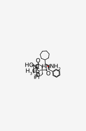 CC(C)C[C@](C(=O)NN)([C@H](C(=O)NO)C(/C=C/c1ccccc1)C1CCCCCC1)S(C)(=O)=O